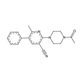 CC(=O)N1CCN(c2nc(C)c(-c3ccccc3)cc2C#N)CC1